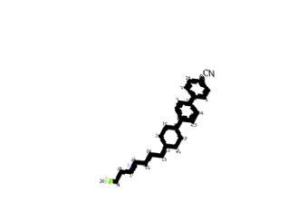 N#Cc1ccc(-c2ccc(C3CCC(CCC/C=C/CCF)CC3)cc2)cc1